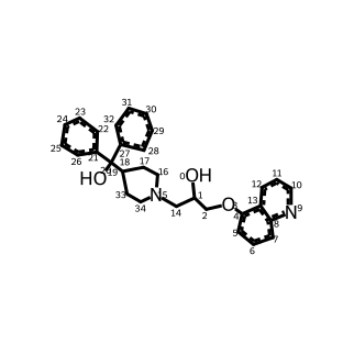 OC(COc1cccc2ncccc12)CN1CCC(C(O)(c2ccccc2)c2ccccc2)CC1